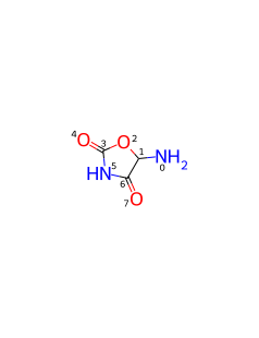 NC1OC(=O)NC1=O